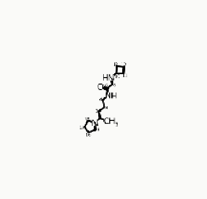 CC(CCCNC(=O)CNC1CCC1)N1C[CH]CC1